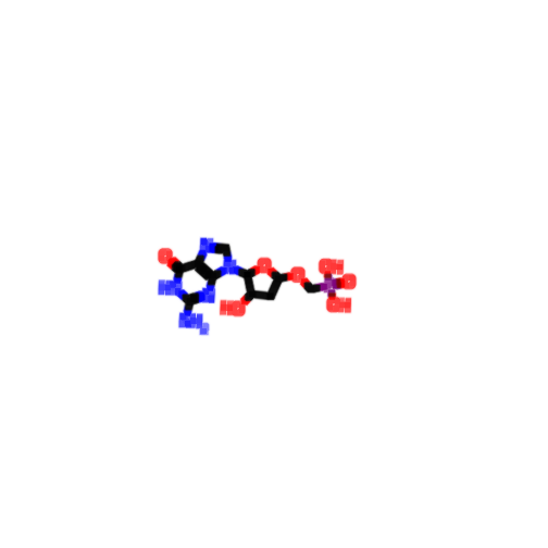 Nc1nc2c(ncn2C2OC(OCP(=O)(O)O)CC2O)c(=O)[nH]1